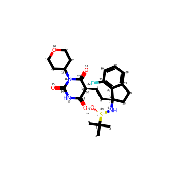 CC(C)(C)[S@+]([O-])N[C@@]1(CC[C@H]2C(=O)NC(=O)N(C3CCOCC3)C2=O)CCc2cccc(F)c21